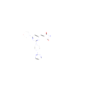 O=C1NC(=O)C(=Cc2cc(N3CCOCC3)nc(N3CCN(c4ncccn4)CC3)n2)S1